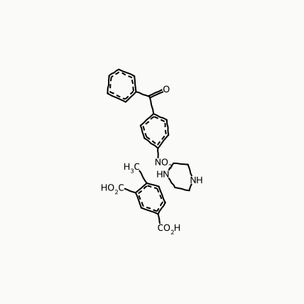 C1CNCCN1.Cc1ccc(C(=O)O)cc1C(=O)O.O=C(c1ccccc1)c1ccc([N+](=O)[O-])cc1